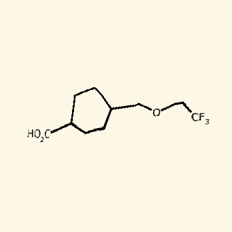 O=C(O)C1CCC(COCC(F)(F)F)CC1